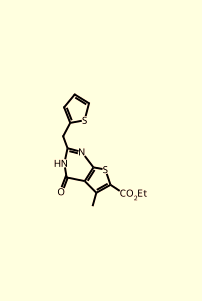 CCOC(=O)c1sc2nc(Cc3cccs3)[nH]c(=O)c2c1C